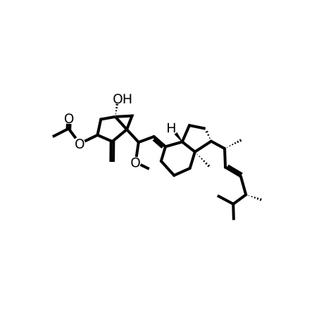 C=C1C(OC(C)=O)C[C@@]2(O)CC12C(/C=C1\CCC[C@]2(C)[C@@H]([C@H](C)/C=C/[C@H](C)C(C)C)CC[C@@H]12)OC